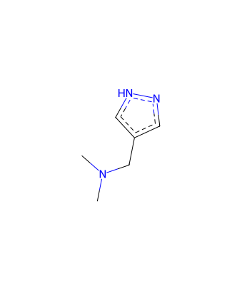 CN(C)Cc1cn[nH]c1